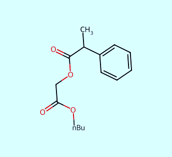 CCCCOC(=O)COC(=O)C(C)c1ccccc1